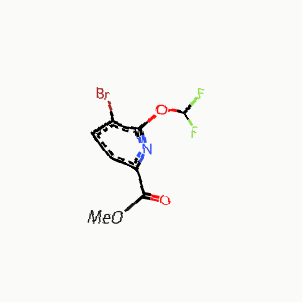 COC(=O)c1ccc(Br)c(OC(F)F)n1